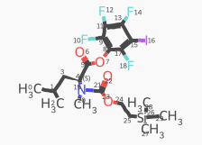 CC(C)C[C@@H](C(=O)Oc1c(F)c(F)c(F)c(I)c1F)N(C)C(=O)OCC[Si](C)(C)C